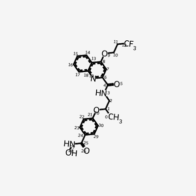 CC(CNC(=O)c1cc(OCCC(F)(F)F)c2ccccc2n1)Oc1ccc(C(=O)NO)cc1